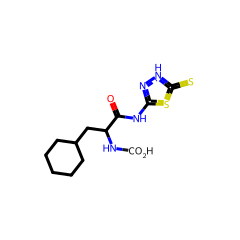 O=C(O)NC(CC1CCCCC1)C(=O)Nc1n[nH]c(=S)s1